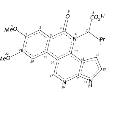 COc1cc2c(=O)n(C(C(=O)O)C(C)C)c3c4cc[nH]c4ncc3c2cc1OC